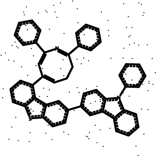 C1=C(c2ccccc2)\N=C(\c2ccccc2)CC\C=C/1c1cccc2sc3ccc(-c4ccc5c(c4)c4ccccc4n5-c4ccccc4)cc3c12